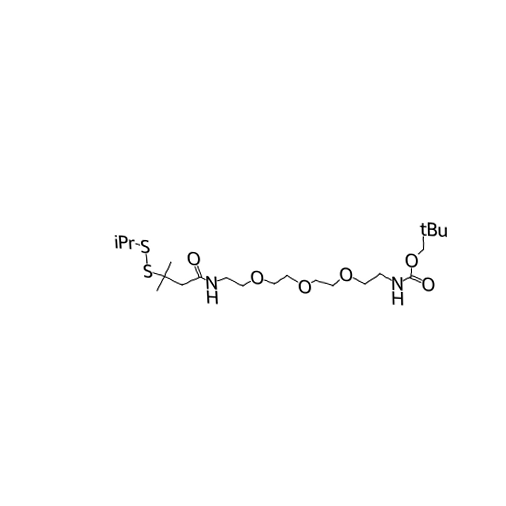 CC(C)SSC(C)(C)CC(=O)NCCOCCOCCOCCNC(=O)OCC(C)(C)C